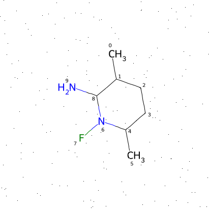 CC1CCC(C)N(F)C1N